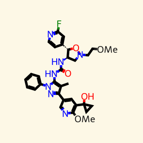 COCCN1C[C@@H](NC(=O)Nc2c(C)c(-c3cnc(OC)c(C4(O)CC4)c3)nn2-c2ccccc2)[C@H](c2ccnc(F)c2)O1